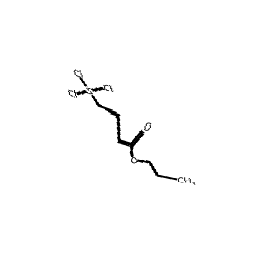 CCCOC(=O)CCCS(Cl)(Cl)Cl